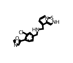 Clc1cc(CNCC2=CC=CN3SNC=C23)ccc1-c1cnco1